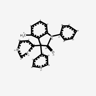 Cc1cccc2c1C(c1ccncc1)(c1ccncc1)C(=O)N2c1ccccc1